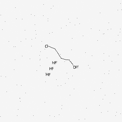 F.F.F.OCCCCl